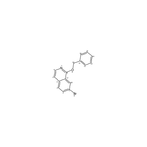 Brc1ccc2ccnc(OCc3ccccc3)c2c1